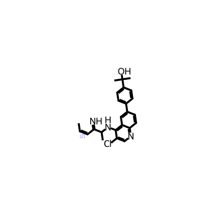 C/C=C\C(=N)C(C)Nc1c(Cl)cnc2ccc(-c3ccc(C(C)(C)O)cc3)cc12